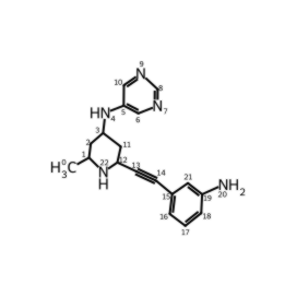 CC1CC(Nc2cncnc2)CC(C#Cc2cccc(N)c2)N1